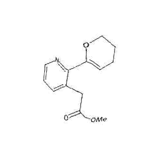 COC(=O)Cc1cccnc1C1=CCCCO1